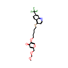 COCOCc1cc(=O)c(OCCCCCSc2ccnc3cc(C(F)(F)F)ccc23)co1